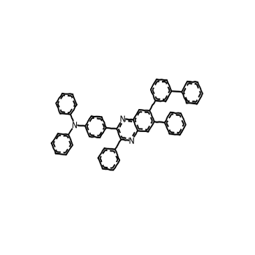 c1ccc(-c2cccc(-c3cc4nc(-c5ccc(N(c6ccccc6)c6ccccc6)cc5)c(-c5ccccc5)nc4cc3-c3ccccc3)c2)cc1